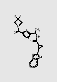 CC(NC(=O)C1CC1c1nc2ccccc2[nH]1)c1ccc(C(=O)N2CC(F)(F)C2)s1